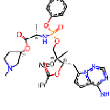 CO[C@](C)(COP(=O)(N[C@@H](C)C(=O)O[C@@H]1CCN(C)C1)Oc1ccccc1)[C@H](Cc1ccc2c(N)ncnn12)OC(=O)C(C)C